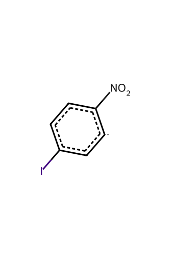 O=[N+]([O-])c1[c]cc(I)cc1